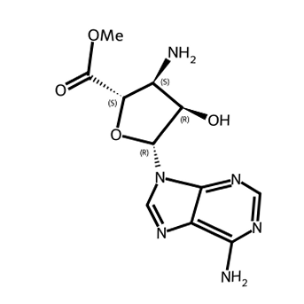 COC(=O)[C@H]1O[C@@H](n2cnc3c(N)ncnc32)[C@H](O)[C@@H]1N